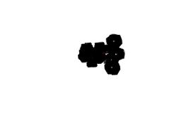 CC1(C)c2ccccc2-c2ccc(-n3c4ccccc4c4ccc5c6ccccc6n(-c6ccc(-c7ccccc7)cc6)c5c43)cc21